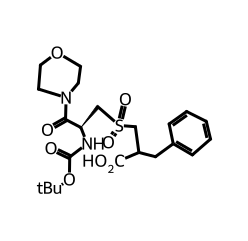 CC(C)(C)OC(=O)N[C@H](CS(=O)(=O)CC(Cc1ccccc1)C(=O)O)C(=O)N1CCOCC1